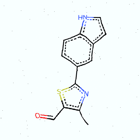 Cc1nc(-c2ccc3[nH]ccc3c2)sc1C=O